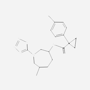 CC1CCC(NC(=O)C2(c3ccc(Cl)cc3)CC2)CN(c2nnn[nH]2)C1